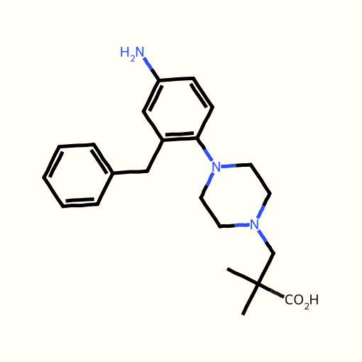 CC(C)(CN1CCN(c2ccc(N)cc2Cc2ccccc2)CC1)C(=O)O